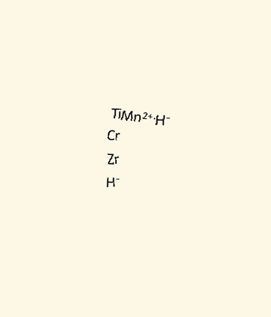 [Cr].[H-].[H-].[Mn+2].[Ti].[Zr]